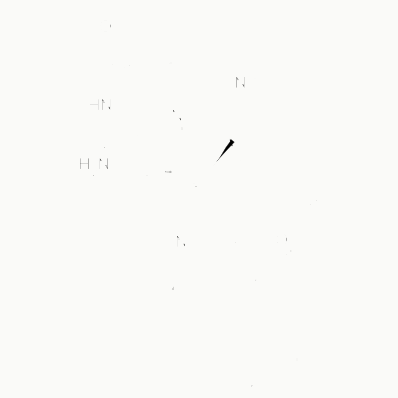 C[C@H]1CN(Cc2ccccc2)C[C@@H]1C1(N)NC(=O)c2cnc(C3CCOCC3)n21